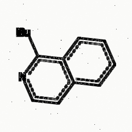 CCC(C)c1nccc2ccccc12